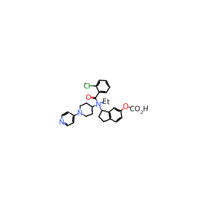 CC[N+](C(=O)c1ccccc1Cl)(C1CCN(c2ccncc2)CC1)[C@@H]1CCc2ccc(OC(=O)O)cc21